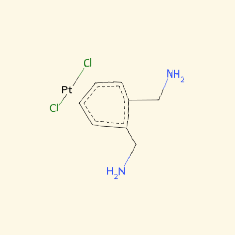 NCc1ccccc1CN.[Cl][Pt][Cl]